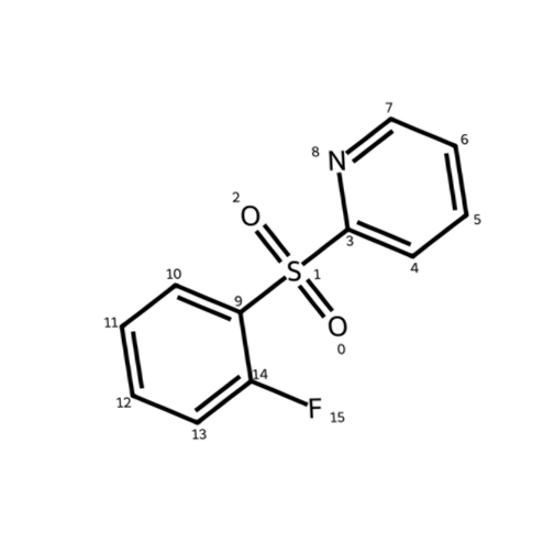 O=S(=O)(c1ccccn1)c1ccccc1F